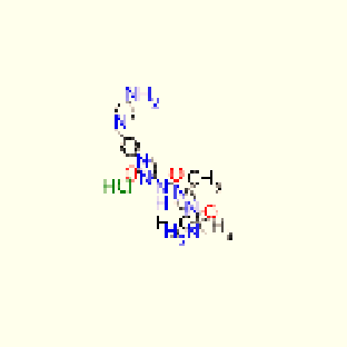 C[C@H]1CN(C(=O)C(C)(C)N)CCN1C(=O)Nc1ccn(-c2ccc(CN3CCC(N)CC3)cc2)c(=O)n1.Cl